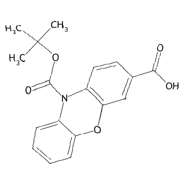 CC(C)(C)OC(=O)N1c2ccccc2Oc2cc(C(=O)O)ccc21